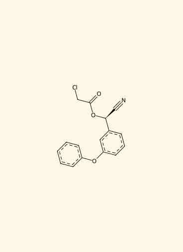 N#C[C@H](OC(=O)CCl)c1cccc(Oc2ccccc2)c1